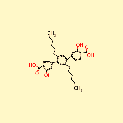 CCCCCCc1cc(-c2ccc(C(=O)O)c(O)c2)c(CCCCCC)cc1-c1ccc(C(=O)O)c(O)c1